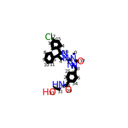 Cn1c(N2CC(c3ccccc3)C(c3ccc(Cl)cc3)=N2)nn(Cc2ccc(C(=O)NCCO)cc2)c1=O